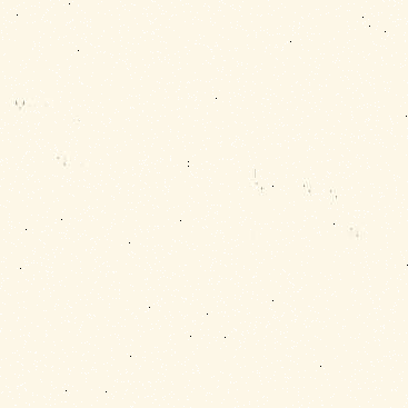 COC(=O)[C@H]1CCCN1C(=O)CC1CCC(c2ccc(NC(=O)c3nnc(Nc4ccccc4F)o3)cc2)CC1